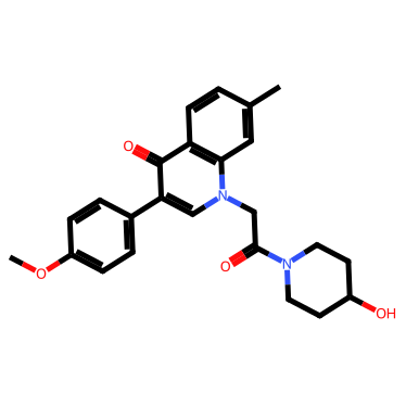 COc1ccc(-c2cn(CC(=O)N3CCC(O)CC3)c3cc(C)ccc3c2=O)cc1